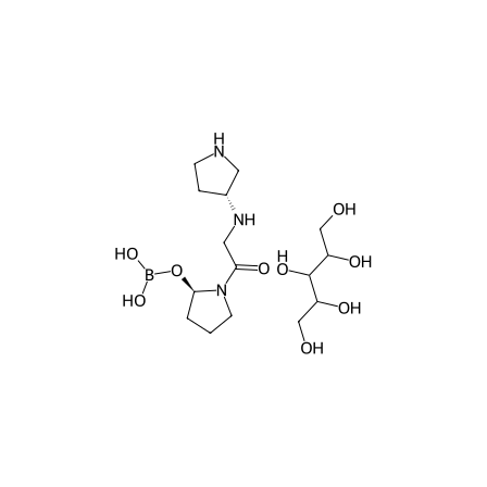 O=C(CN[C@@H]1CCNC1)N1CCC[C@H]1OB(O)O.OCC(O)C(O)C(O)CO